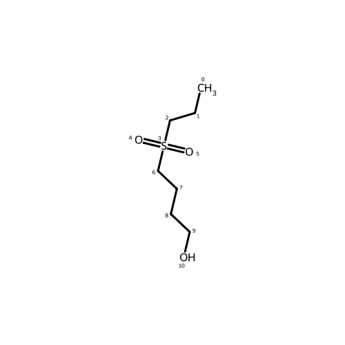 CCCS(=O)(=O)CCCCO